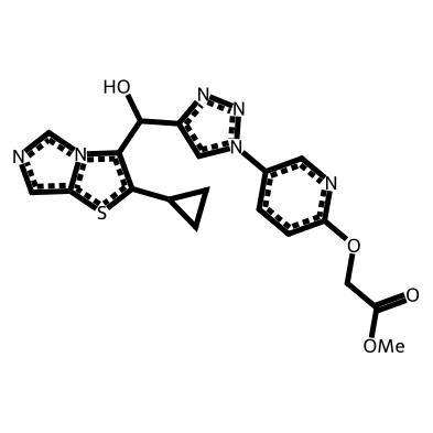 COC(=O)COc1ccc(-n2cc(C(O)c3c(C4CC4)sc4cncn34)nn2)cn1